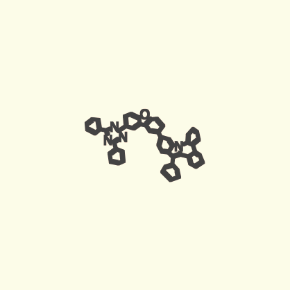 c1ccc(-c2nc(-c3ccccc3)nc(-c3ccc4oc5ccc(-c6ccc7c(-c8ccccc8)c8c9ccccc9c9ccccc9n8c7c6)cc5c4c3)n2)cc1